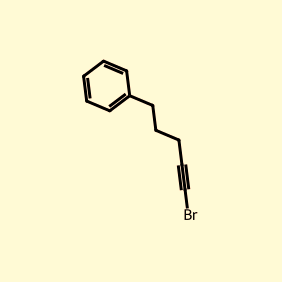 BrC#CCCCc1ccccc1